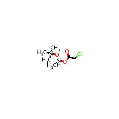 C[SiH](OC(=O)CCl)O[Si](C)(C)C